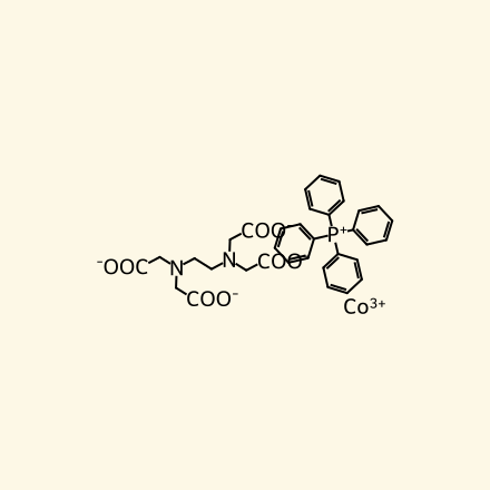 O=C([O-])CN(CCN(CC(=O)[O-])CC(=O)[O-])CC(=O)[O-].[Co+3].c1ccc([P+](c2ccccc2)(c2ccccc2)c2ccccc2)cc1